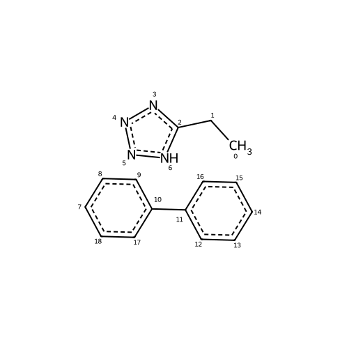 CCc1nnn[nH]1.c1ccc(-c2ccccc2)cc1